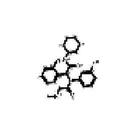 CNCC(=O)N(c1cccc(F)c1)C(C(=O)NC1CCCCC1)c1ccccc1C